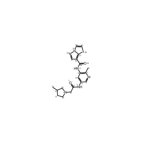 Cc1ncc(NC(=O)CN2CCC(C)C2)cc1NC(=O)c1cnn2ccsc12